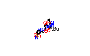 CC(NC(=O)C1CC(O)CN1C(=O)[C@@H](n1cc(C2CC2)nn1)C(C)(C)C)c1cccc(S(=O)(=O)N(C)C)c1